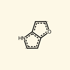 [c]1cc2o[c]cc2[nH]1